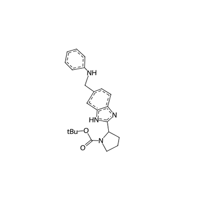 CC(C)(C)OC(=O)N1CCCC1c1nc2ccc(CNc3ccccc3)cc2[nH]1